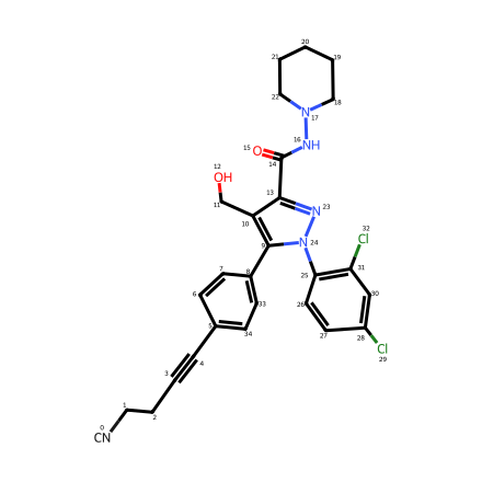 [C-]#[N+]CCC#Cc1ccc(-c2c(CO)c(C(=O)NN3CCCCC3)nn2-c2ccc(Cl)cc2Cl)cc1